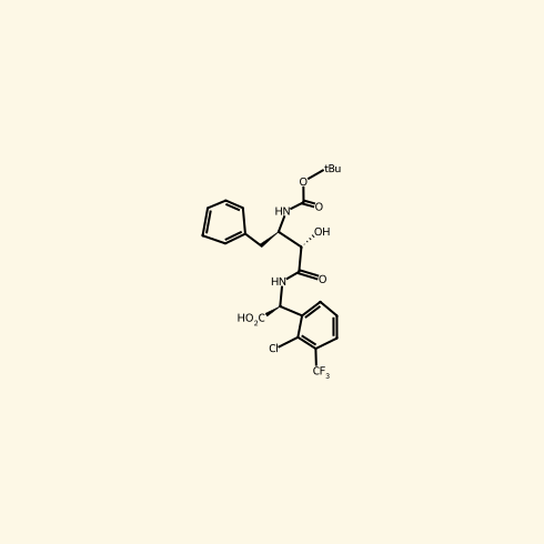 CC(C)(C)OC(=O)N[C@H](Cc1ccccc1)[C@H](O)C(=O)N[C@H](C(=O)O)c1cccc(C(F)(F)F)c1Cl